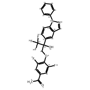 CC(=O)c1cc(F)c(OCC(O)(c2ccc3c(cnn3-c3ccccc3)c2)C(F)(F)F)c(F)c1